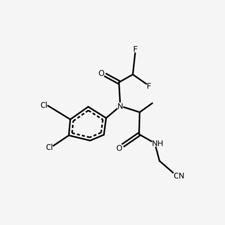 CC(C(=O)NCC#N)N(C(=O)C(F)F)c1ccc(Cl)c(Cl)c1